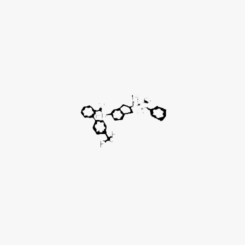 O=C(Nc1ccc2c(c1)CC(NS(=O)(=O)c1ccccc1)C2)c1ccccc1-c1ccc(C(F)(F)F)cc1